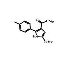 CCCCCCc1nc(C(=O)OC)c(-c2ccc(C)cc2)[nH]1